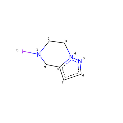 IN1CCn2nccc2C1